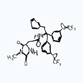 CN1C(=O)NC(CC(=O)NC(Cc2ccccc2)(c2cccc(OC(F)(F)F)c2)c2cccc(OC(F)(F)F)c2)C1=O